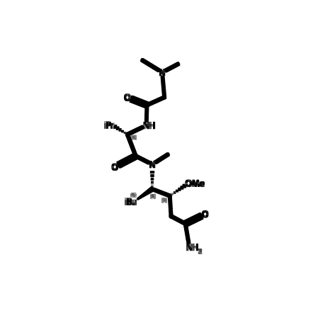 CC[C@H](C)[C@@H]([C@@H](CC(N)=O)OC)N(C)C(=O)[C@@H](NC(=O)CN(C)C)C(C)C